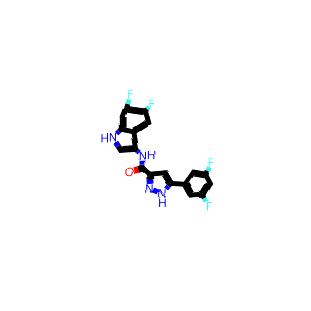 O=C(Nc1c[nH]c2cc(F)c(F)cc12)c1cc(-c2cc(F)cc(F)c2)[nH]n1